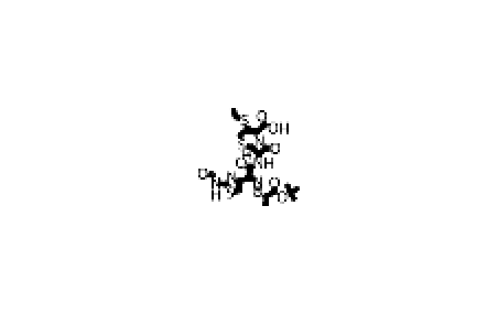 CCSC1=C(C(=O)O)N2C(=O)C(NC(=O)C(=NOC(C)C(=O)OC(C)(C)C)c3csc(NC=O)n3)[C@@H]2SC1